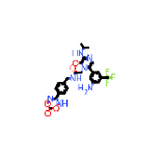 CC(C)Nc1ncc(-c2cc(N)cc(C(F)(F)F)c2)n(CC(=O)NCc2ccc(C3=NOC(=O)ON3)cc2)c1=O